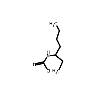 CCCCC(CC)NC(=O)Cl